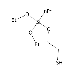 CCC[Si](OCC)(OCC)OCCS